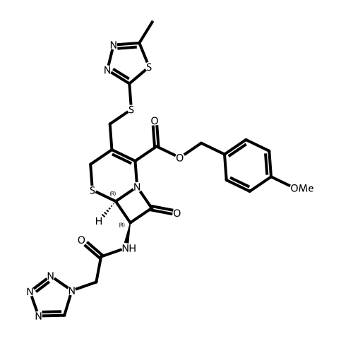 COc1ccc(COC(=O)C2=C(CSc3nnc(C)s3)CS[C@@H]3[C@H](NC(=O)Cn4cnnn4)C(=O)N23)cc1